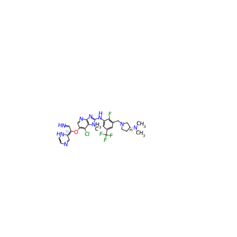 CN(C)[C@@H]1CCN(Cc2cc(C(F)(F)F)cc(Nc3nc4ncc(O/C(C=N)=C5\C=NC=CN5)c(Cl)c4n3C)c2F)C1